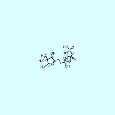 C[C@@H]1O[C@H](COP(=O)(O)OP(=O)(O)OP(=O)(O)O)[C@@H](O)C1(C)C